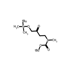 CN(CCC(=O)CO[Si](C)(C)C(C)(C)C)C(=O)OC(C)(C)C